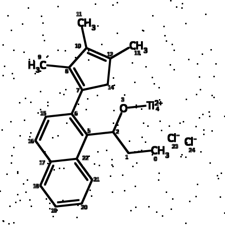 CCC([O][Ti+2])c1c(C2=C(C)C(C)=C(C)C2)ccc2ccccc12.[Cl-].[Cl-]